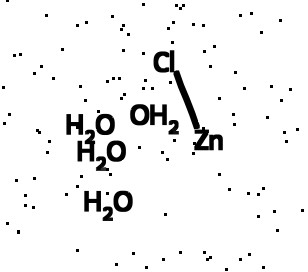 O.O.O.O.[Cl][Zn]